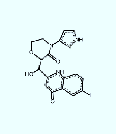 O=C1[C@@H](C(O)c2nc(=O)c3cc(I)ccc3[nH]2)OCCN1c1cc[nH]n1